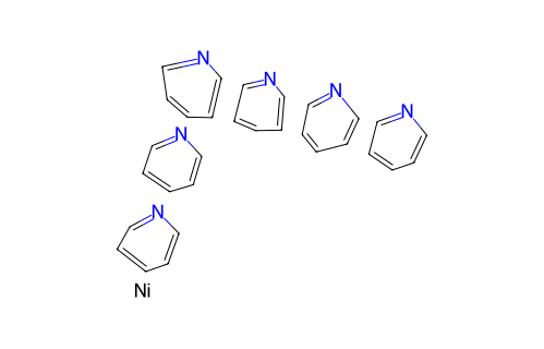 [Ni].c1ccncc1.c1ccncc1.c1ccncc1.c1ccncc1.c1ccncc1.c1ccncc1